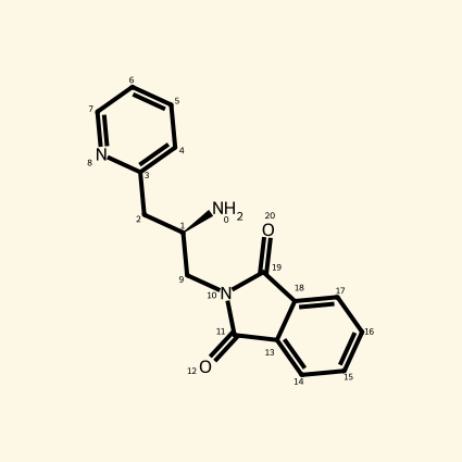 N[C@H](Cc1ccccn1)CN1C(=O)c2ccccc2C1=O